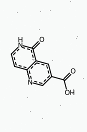 O=C(O)c1cnc2cc[nH]c(=O)c2c1